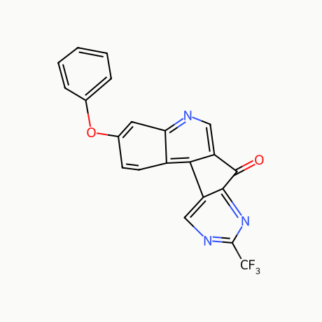 O=C1c2cnc3cc(Oc4ccccc4)ccc3c2-c2cnc(C(F)(F)F)nc21